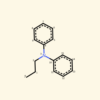 [CH2]CCN(c1ccccc1)c1ccccc1